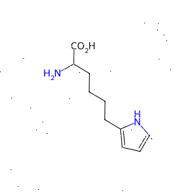 NC(CCCCc1ccc[nH]1)C(=O)O